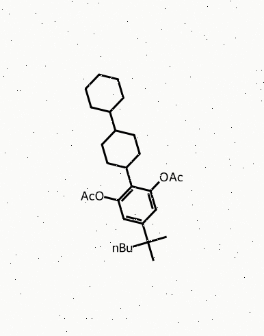 CCCCC(C)(C)c1cc(OC(C)=O)c(C2CCC(C3CCCCC3)CC2)c(OC(C)=O)c1